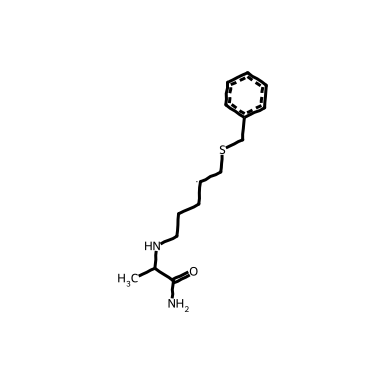 CC(NCCC[CH]CSCc1ccccc1)C(N)=O